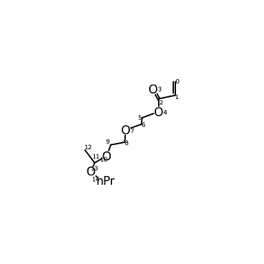 C=CC(=O)OCCOCCOC(C)OCCC